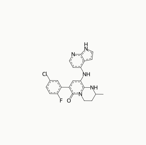 CC1CCn2c(c(Nc3ccnc4[nH]ccc34)cc(-c3cc(Cl)ccc3F)c2=O)N1